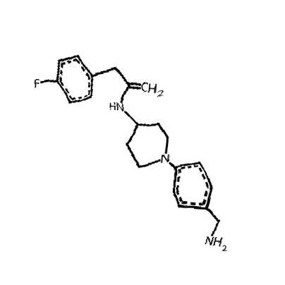 C=C(Cc1ccc(F)cc1)NC1CCN(c2ccc(CN)cc2)CC1